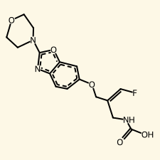 O=C(O)NCC(=CF)COc1ccc2nc(N3CCOCC3)oc2c1